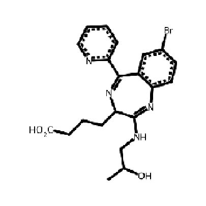 CC(O)CNC1=Nc2ccc(Br)cc2C(c2ccccn2)=NC1CCCC(=O)O